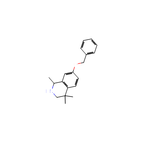 CC1NCC(C)(C)c2ccc(OCc3ccccc3)cc21